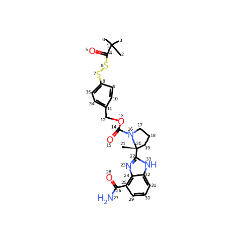 CC(C)(C)C(=O)SSc1ccc(COC(=O)N2CCC[C@]2(C)c2nc3c(C(N)=O)cccc3[nH]2)cc1